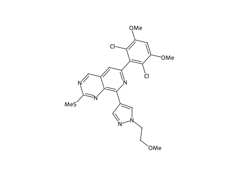 COCCn1cc(-c2nc(-c3c(Cl)c(OC)cc(OC)c3Cl)cc3cnc(SC)nc23)cn1